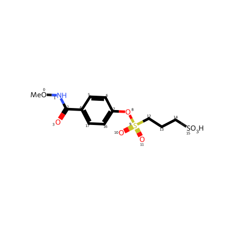 CONC(=O)c1ccc(OS(=O)(=O)CCCS(=O)(=O)O)cc1